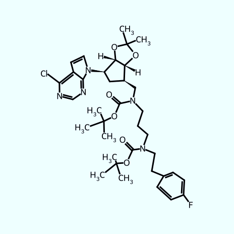 CC(C)(C)OC(=O)N(CCCN(C[C@H]1C[C@@H](n2ccc3c(Cl)ncnc32)[C@@H]2OC(C)(C)O[C@H]12)C(=O)OC(C)(C)C)CCc1ccc(F)cc1